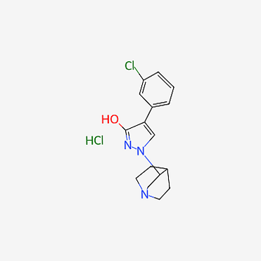 Cl.Oc1nn(C2CN3CCC2CC3)cc1-c1cccc(Cl)c1